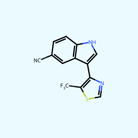 N#Cc1ccc2[nH]cc(-c3ncsc3C(F)(F)F)c2c1